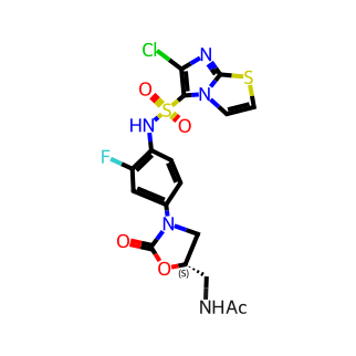 CC(=O)NC[C@H]1CN(c2ccc(NS(=O)(=O)c3c(Cl)nc4sccn34)c(F)c2)C(=O)O1